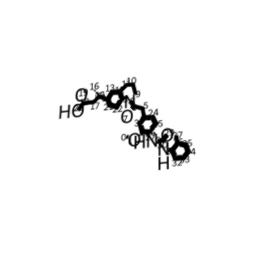 COc1cc(CC(=O)N2CCCc3cc([C@@H](C)CC(=O)O)ccc32)ccc1NC(=O)Nc1ccccc1C